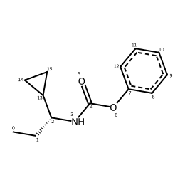 CC[C@@H](NC(=O)Oc1ccccc1)C1CC1